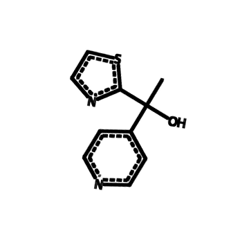 CC(O)(c1ccncc1)c1nccs1